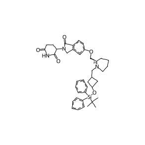 CC(C)(C)[Si](OC1CC(CN2CCCC[C@@H]2COc2ccc3c(c2)CN(C2CCC(=O)NC2=O)C3=O)C1)(c1ccccc1)c1ccccc1